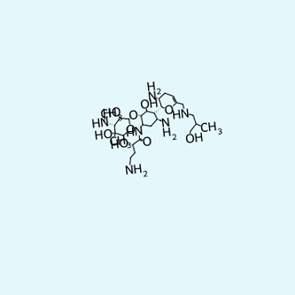 CN[C@@H]1[C@@H](O)[C@@H](O[C@H]2[C@H](NC(=O)[C@@H](O)CCN)C[C@H](N)C([C@H]3OC(CNCC(C)CO)=CC[C@H]3N)[C@@H]2O)OC[C@]1(C)O